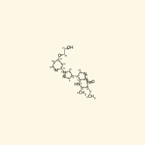 CCc1c(C)[nH]c2c(-c3cnn(-c4cc(OCCO)ccn4)c3)cnn2c1=O